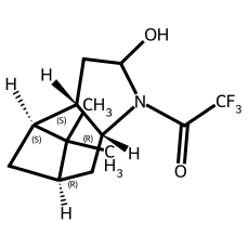 CC1(C)[C@H]2C[C@@H]3[C@@H](CC(O)N3C(=O)C(F)(F)F)[C@@H]1C2